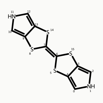 c1[nH]cc2c1SC(=C1Sc3c[nH]cc3S1)S2